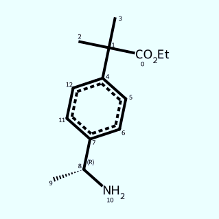 CCOC(=O)C(C)(C)c1ccc([C@@H](C)N)cc1